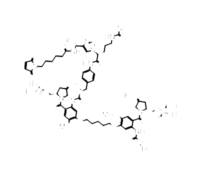 C=C1C[C@H](CO[Si](C)(C)C(C)(C)C)N(C(=O)c2cc(OC)c(OCCCCCOc3cc(NC(=O)OC(C)(C)C)c(C(=O)N4CC(=C)C[C@@H]4CO[Si](C)(C)C(C)(C)C)cc3OC)cc2NC(=O)OCc2ccc(NC(=O)[C@H](CCCNC(N)=O)n3cc([C@@H](NC(=O)CCCCCN4C(=O)C=CC4=O)C(C)C)nn3)cc2)C1